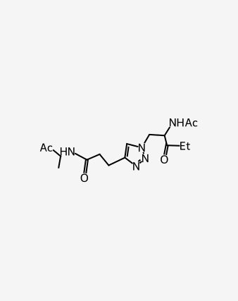 CCC(=O)C(Cn1cc(CCC(=O)NC(C)C(C)=O)nn1)NC(C)=O